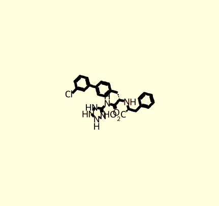 O=C(O)[C@H](Cc1ccccc1)N[C@@H](Cc1ccc(-c2cccc(Cl)c2)cc1)C(=O)NC1=NNNN1